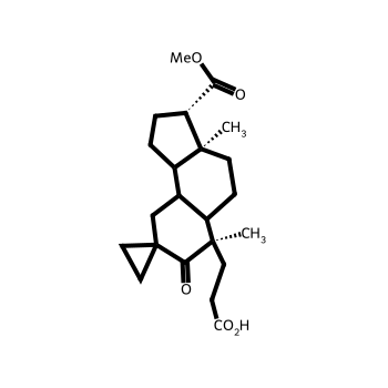 COC(=O)[C@H]1CCC2C3CC4(CC4)C(=O)[C@](C)(CCC(=O)O)C3CC[C@@]21C